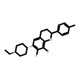 CC[C@H]1CC[C@H](c2cc3c(c(F)c2F)OC(c2ccc(C)cc2)CC3)CC1